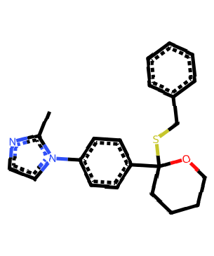 Cc1nccn1-c1ccc(C2(SCc3ccccc3)CCCCO2)cc1